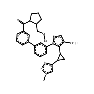 CCOCC1CCCN1C(=O)c1cccc(-c2cccc(-n3ncc(C(=O)O)c3C3CC3c3cn(C)nn3)c2)c1